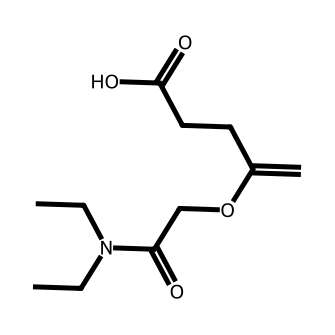 C=C(CCC(=O)O)OCC(=O)N(CC)CC